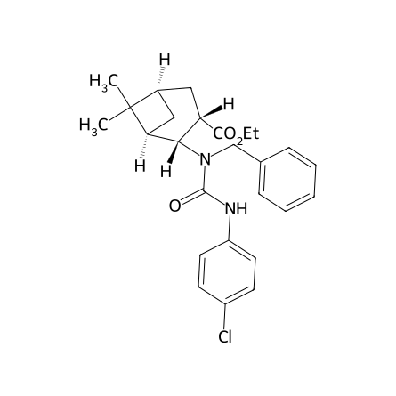 CCOC(=O)[C@H]1C[C@H]2C[C@@H]([C@H]1N(Cc1ccccc1)C(=O)Nc1ccc(Cl)cc1)C2(C)C